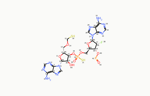 Nc1ncnc2c1ncn2[C@@H]1O[C@H](COCS)[C@@H](OP(=O)(S)OC[C@H]2O[C@@H](n3cnc4c(N)ncnc43)[C@H](F)[C@@H]2OP=O)[C@H]1O